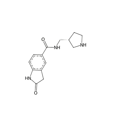 O=C1Cc2cc(C(=O)NC[C@@H]3CCNC3)ccc2N1